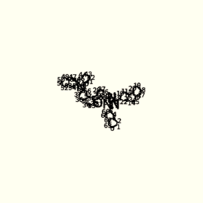 c1ccc2cc(-c3nc(-c4ccc5c(ccc6ccccc65)c4)nc(-c4cccc5c4oc4ccc6ccc(-n7c8ccccc8c8cc9ccccc9cc87)cc6c45)n3)ccc2c1